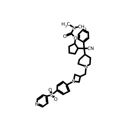 CN(C)C(=O)OC1CCCC1C(C#N)(c1ccccc1)C1CCN(CC2CN(c3ccc(S(=O)(=O)c4ccncc4)cc3)C2)CC1